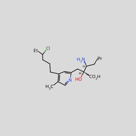 CCC(Cl)CCCc1cc(C[C@](O)(C(=O)O)[C@@H](N)CC(C)C)ncc1C